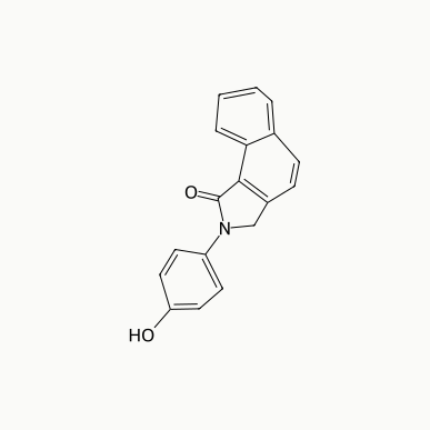 O=C1c2c(ccc3ccccc23)CN1c1ccc(O)cc1